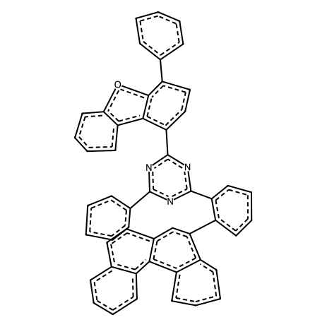 c1ccc(-c2nc(-c3ccccc3-c3cc4ccc5ccccc5c4c4ccccc34)nc(-c3ccc(-c4ccccc4)c4oc5ccccc5c34)n2)cc1